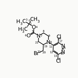 CC(C)(C)OC(=O)N1CCN(c2cc(Cl)nnc2Cl)C(CBr)C1